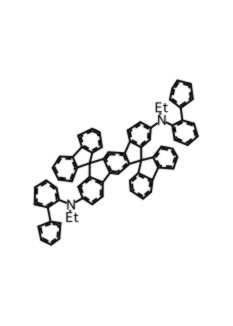 CCN(c1ccc2c(c1)C1(c3ccccc3-c3ccccc31)c1cc3c(cc1-2)C1(c2ccccc2-c2ccccc21)c1cc(N(CC)c2ccccc2-c2ccccc2)ccc1-3)c1ccccc1-c1ccccc1